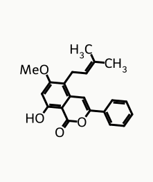 COc1cc(O)c2c(=O)oc(-c3ccccc3)cc2c1CC=C(C)C